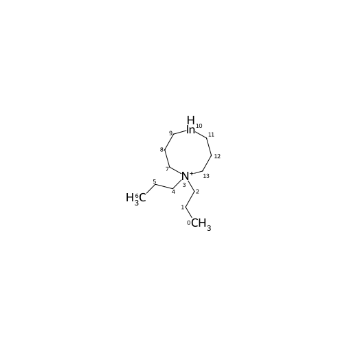 CCC[N+]1(CCC)CC[CH2][InH][CH2]CC1